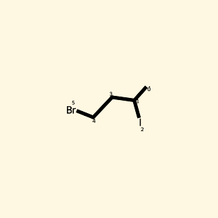 [CH2]C(I)CCBr